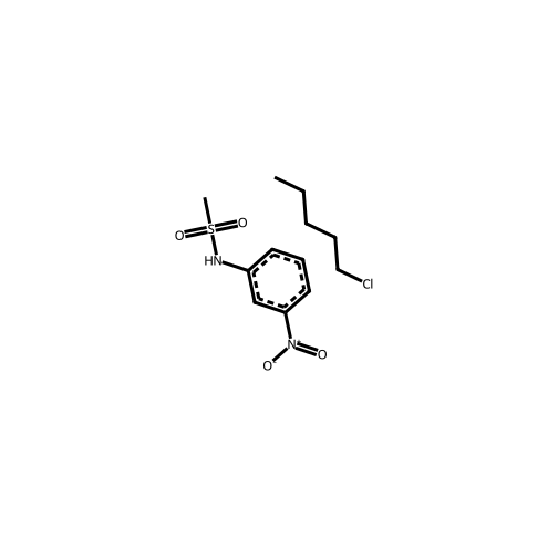 CCCCCCl.CS(=O)(=O)Nc1cccc([N+](=O)[O-])c1